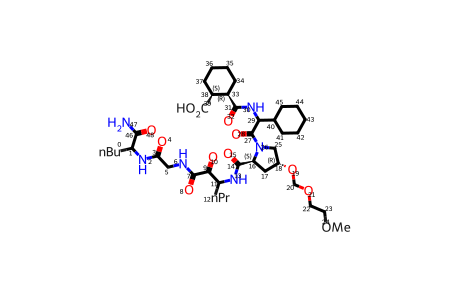 CCCCC(NC(=O)CNC(=O)C(=O)C(CCC)NC(=O)[C@@H]1C[C@@H](OCOCCOC)CN1C(=O)C(NC(=O)[C@@H]1CCCC[C@@H]1C(=O)O)C1CCCCC1)C(N)=O